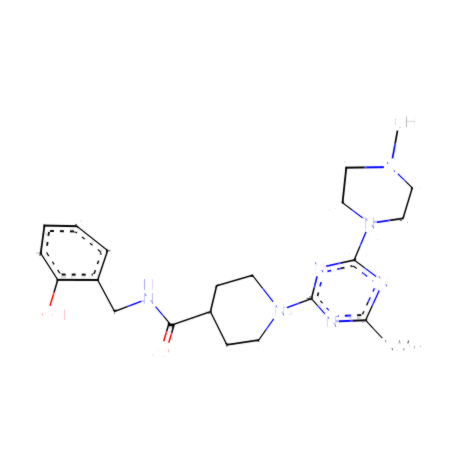 CNc1nc(N2CCC(C(=O)NCc3ccccc3O)CC2)nc(N2CCN(C)CC2)n1